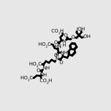 O=C(O)CCC(NC(=O)NC(CCCCNC(=O)C(Cc1ccc2ccccc2c1)NC(=O)C(CCC(=O)O)NC(=O)C(CCC(=O)O)NC(=O)COCC(CO)(CO)CI)C(=O)O)C(=O)O